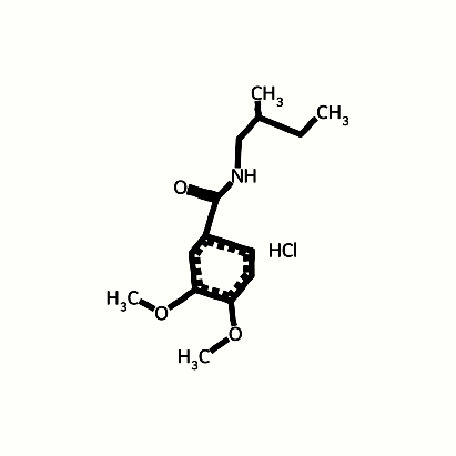 CCC(C)CNC(=O)c1ccc(OC)c(OC)c1.Cl